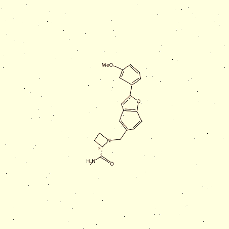 COc1cccc(-c2cc3cc(CN4CC[C@H]4C(N)=O)ccc3o2)c1